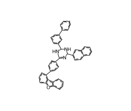 c1ccc(-c2cccc(C3NC(c4ccc(-c5cccc6oc7ccccc7c56)cc4)=NC(c4ccc5ccccc5c4)N3)c2)cc1